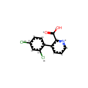 O=C(O)c1ncccc1-c1ccc(Cl)cc1Cl